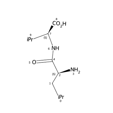 CC(C)C[C@H](N)C(=O)N[C@H](C(=O)O)C(C)C